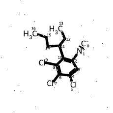 [C-]#[N+]c1cc(Cl)c(Cl)c(Cl)c1C(CC)CCC